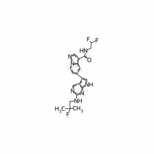 CC(C)(F)CNc1ncc2c(-c3ccn4ncc(C(=O)NCC(F)F)c4c3)c[nH]c2n1